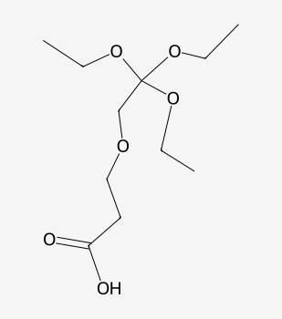 CCOC(COCCC(=O)O)(OCC)OCC